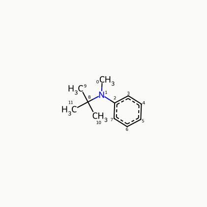 CN(c1ccccc1)C(C)(C)C